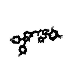 Fc1ccc(-c2nn3cc(CNC[C@H]4COC(Cn5cncn5)(c5ccc(F)cc5F)C4)ccc3c2-c2ccncc2)cc1